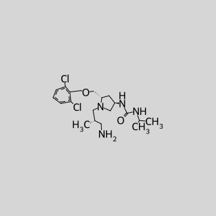 CC(C)NC(=O)N[C@@H]1C[C@@H](COCc2c(Cl)cccc2Cl)N(C[C@@H](C)CN)C1